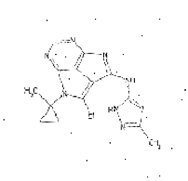 Cc1cc(NC2=Nc3ncnc4c3c2c(Cl)n4C2(C)CC2)[nH]n1